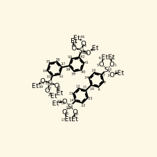 CCO[Si](OCC)(OCC)c1ccc(-c2ccc([Si](OCC)(OCC)OCC)cc2)cc1.CCO[Si](OCC)(OCC)c1cccc(-c2cccc([Si](OCC)(OCC)OCC)c2)c1